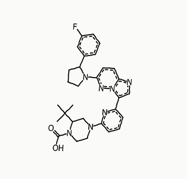 CC(C)(C)C1CN(c2cccc(-c3cnc4ccc(N5CCCC5c5cccc(F)c5)nn34)n2)CCN1C(=O)O